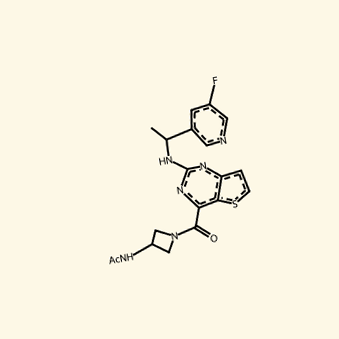 CC(=O)NC1CN(C(=O)c2nc(NC(C)c3cncc(F)c3)nc3ccsc23)C1